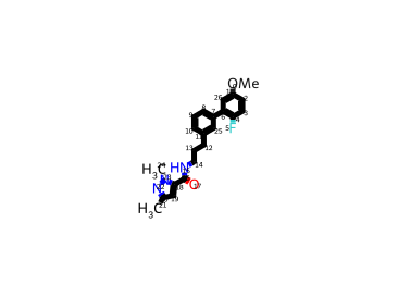 COc1ccc(F)c(-c2cccc(CCCNC(=O)c3cc(C)nn3C)c2)c1